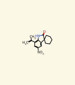 C=C(C)c1cc([N+](=O)[O-])cc2c1NC(=O)C21CCCCC1